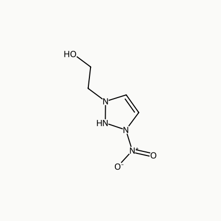 O=[N+]([O-])N1C=CN(CCO)N1